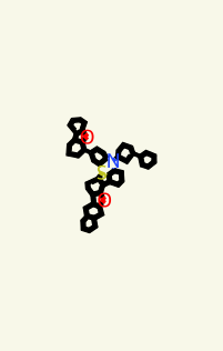 c1ccc(-c2cccc(N(c3ccc(-c4cccc5c4oc4ccccc45)cc3)c3cccc4c3sc3ccc5c6cc7ccccc7cc6oc5c34)c2)cc1